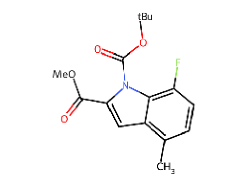 COC(=O)c1cc2c(C)ccc(F)c2n1C(=O)OC(C)(C)C